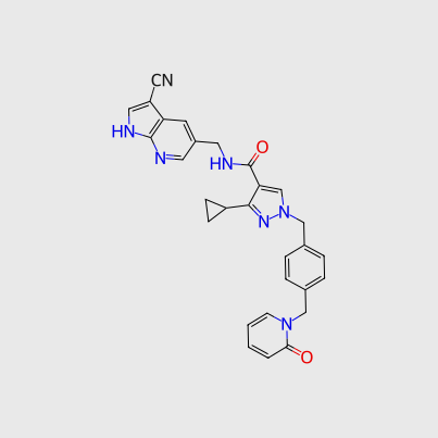 N#Cc1c[nH]c2ncc(CNC(=O)c3cn(Cc4ccc(Cn5ccccc5=O)cc4)nc3C3CC3)cc12